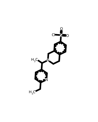 CCc1ccc(C(C)N2CCc3ccc(S(=O)(=O)Cl)cc3C2)cn1